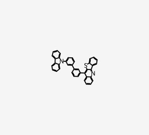 c1cc(-c2cccc(-n3c4ccccc4c4ccccc43)c2)cc(-c2c3ccccc3nc3c2sc2ccccc23)c1